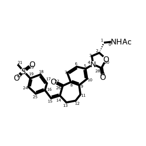 CC(=O)NC[C@H]1CN(c2ccc3c(c2)CCC/C(=C/c2ccc(S(C)(=O)=O)cc2)C3=O)C(=O)O1